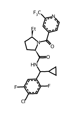 CC[C@@H]1CC[C@H](C(=O)NC(c2cc(F)c(Cl)cc2F)C2CC2)N1C(=O)c1ccnc(C(F)(F)F)c1